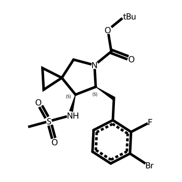 CC(C)(C)OC(=O)N1CC2(CC2)[C@H](NS(C)(=O)=O)[C@@H]1Cc1cccc(Br)c1F